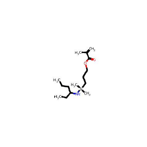 C=C(C)C(=O)OCCC[Si](C)(C)NC(CC)CCC